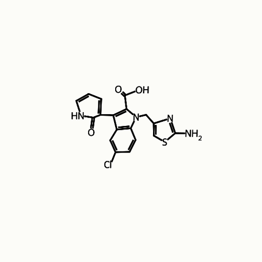 Nc1nc(Cn2c(C(=O)O)c(-c3ccc[nH]c3=O)c3cc(Cl)ccc32)cs1